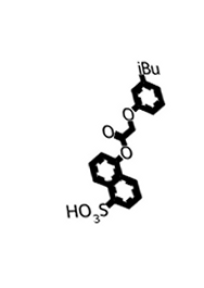 CCC(C)c1cccc(OCC(=O)Oc2cccc3c(S(=O)(=O)O)cccc23)c1